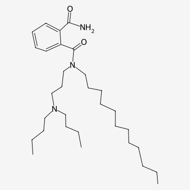 CCCCCCCCCCCCN(CCCN(CCCC)CCCC)C(=O)c1ccccc1C(N)=O